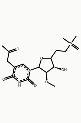 C=P(C)(C)CCC1OC(n2cc(CC(C)=O)c(=O)[nH]c2=O)[C@H](OC)[C@@H]1O